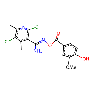 COc1cc(C(=O)ON=C(N)c2c(Cl)nc(C)c(Cl)c2C)ccc1O